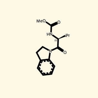 COC(=O)N[C@H](C(=O)N1CCc2ccccc21)C(C)C